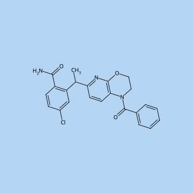 CC(c1ccc2c(n1)OCCN2C(=O)c1ccccc1)c1cc(Cl)ccc1C(N)=O